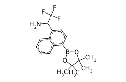 CC1(C)OB(c2ccc(C(N)C(F)(F)F)c3ccccc23)OC1(C)C